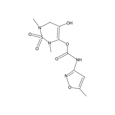 Cc1cc(NC(=O)OC2=C(O)CN(C)S(=O)(=O)N2C)no1